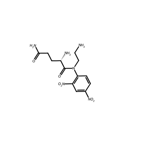 NCCN(C(=O)[C@@H](N)CCC(N)=O)c1ccc([N+](=O)[O-])cc1[N+](=O)[O-]